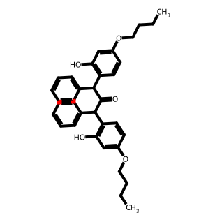 CCCCOc1ccc(C(C(=O)C(c2ccccc2)c2ccc(OCCCC)cc2O)c2ccccc2)c(O)c1